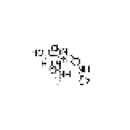 CN(CC(=O)NC1CCCC1)c1nc(Cc2ccc(NCc3ccccc3)cc2)nc(Cl)c1CC(=O)O